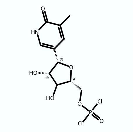 Cc1cc([C@@H]2O[C@H](COP(=O)(Cl)Cl)C(O)[C@@H]2O)c[nH]c1=O